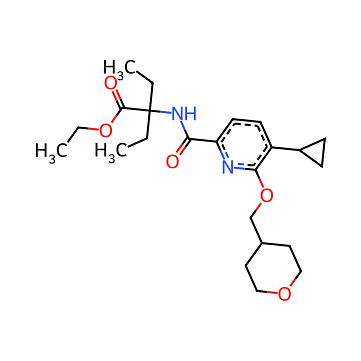 CCOC(=O)C(CC)(CC)NC(=O)c1ccc(C2CC2)c(OCC2CCOCC2)n1